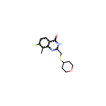 Cc1c(F)ccc2c(=O)[nH]c(CSC3CCOCC3)nc12